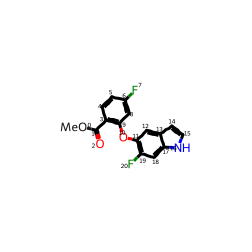 COC(=O)c1ccc(F)cc1Oc1cc2cc[nH]c2cc1F